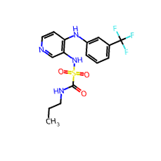 CCCNC(=O)S(=O)(=O)Nc1cnccc1Nc1cccc(C(F)(F)F)c1